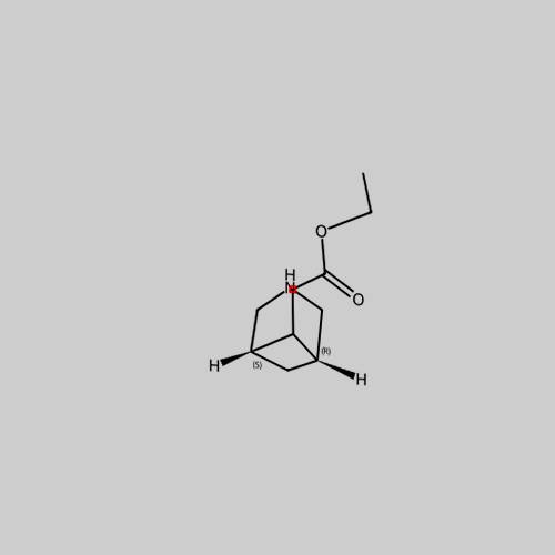 CCOC(=O)CC1[C@@H]2CNC[C@H]1C2